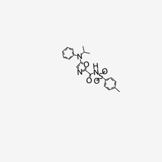 Cc1ccc(S(=O)(=O)NC(=O)c2ncc(N(c3ccccc3)C(C)C)o2)cc1